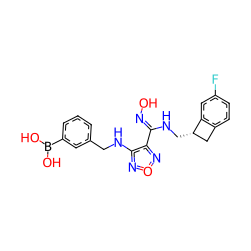 O/N=C(\NC[C@H]1Cc2ccc(F)cc21)c1nonc1NCc1cccc(B(O)O)c1